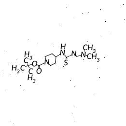 CN(C)/C=N/C(=S)NC1CCN(C(=O)OC(C)(C)C)CC1